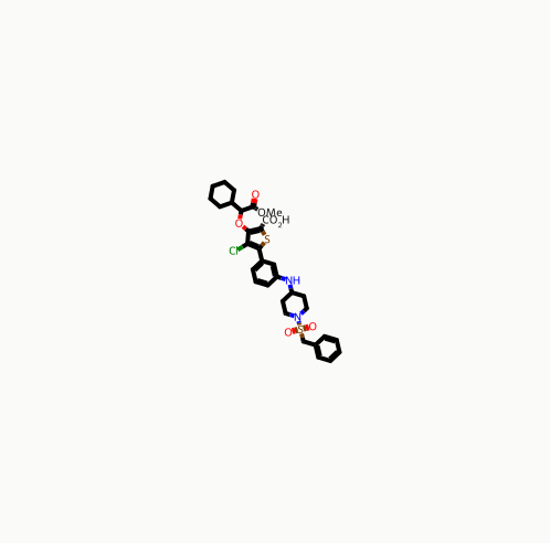 COC(=O)C(Oc1c(C(=O)O)sc(-c2cccc(NC3CCN(S(=O)(=O)Cc4ccccc4)CC3)c2)c1Cl)C1CCCCC1